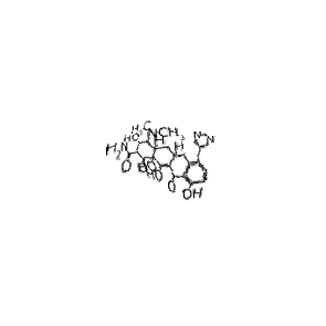 CN(C)[C@@H]1C(O)C(C(N)=O)C(=O)[C@@]2(O)C(O)=C3C(=O)c4c(O)ccc(-c5cncnc5)c4C[C@H]3C[C@@H]12